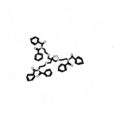 O=C(c1ccccc1)N(CCOCC(COCCN(C(=O)c1ccccc1)C(=O)c1ccccc1)(COCCN(C(=O)c1ccccc1)C(=O)c1ccccc1)[N+](=O)[O-])C(=O)c1ccccc1